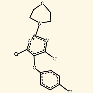 Clc1ccc(Oc2c(Cl)nc(N3CCOCC3)nc2Cl)cc1